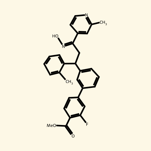 COC(=O)c1ccc(-c2cccc(C(C/C(=N/O)c3ccnc(C)c3)c3ccccc3C)c2)cc1F